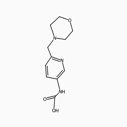 O=C(O)Nc1ccc(CN2CCOCC2)nc1